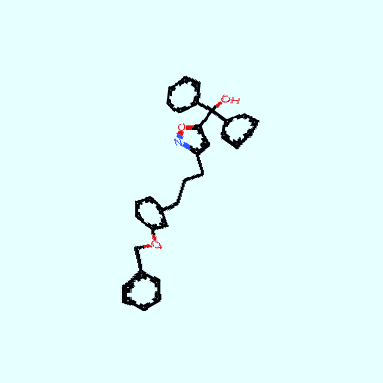 OC(c1ccccc1)(c1ccccc1)c1cc(CCCc2cccc(OCc3ccccc3)c2)no1